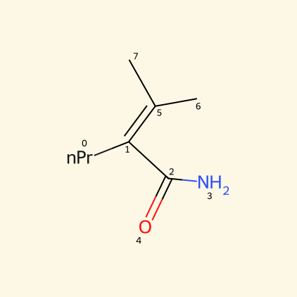 CCCC(C(N)=O)=C(C)C